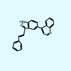 C(=Cc1n[nH]c2ccc(-c3ccnc4ccccc34)cc12)c1ccccc1